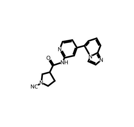 N#CN1CCC(C(=O)Nc2cc(-c3cccc4nccn34)ccn2)C1